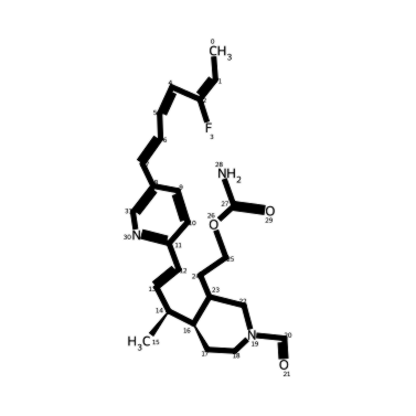 C\C=C(F)/C=C\C=C\c1ccc(/C=C/[C@H](C)[C@@H]2CCN(C=O)CC2CCOC(N)=O)nc1